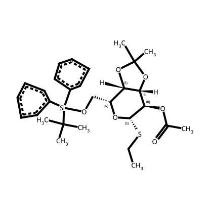 CCS[C@@H]1O[C@H](CO[Si](c2ccccc2)(c2ccccc2)C(C)(C)C)[C@@H]2OC(C)(C)O[C@@H]2[C@H]1OC(C)=O